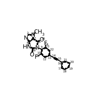 Cn1cnc2[nH]c(=O)n(-c3c(F)cc(C#Cc4ccccc4)cc3F)c(=O)c21